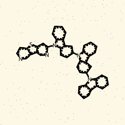 c1ccc2c(c1)c1ccccc1n2-c1ccc2c(c1)c1ccccc1n2-c1ccc2c(c1)c1ccccc1n2-c1cc2sc3ccncc3c2cn1